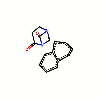 O=C1CCN2CN1C2=O.c1ccc2ccccc2c1